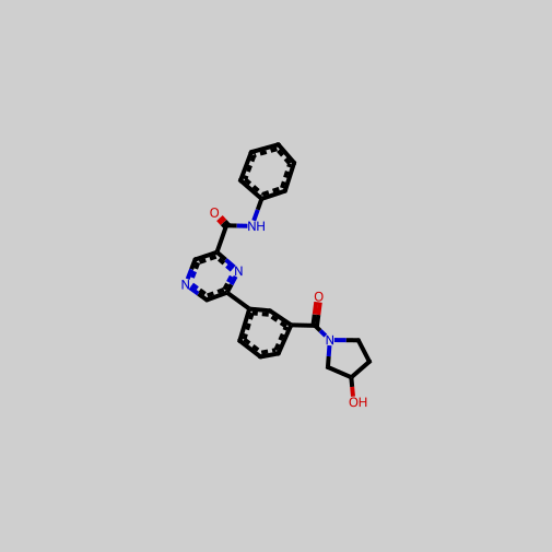 O=C(Nc1ccccc1)c1cncc(-c2cccc(C(=O)N3CCC(O)C3)c2)n1